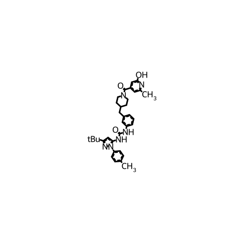 Cc1ccc(-n2nc(C(C)(C)C)cc2NC(=O)Nc2cccc(CC3CCN(C(=O)c4cc(C)nc(O)c4)CC3)c2)cc1